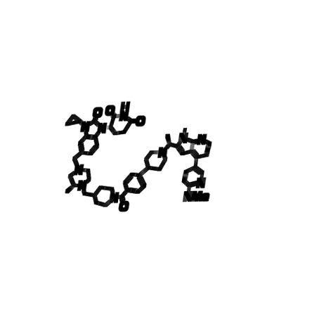 CNc1ccc(-c2ccnc3c2cc([C@H](C)N2CCC(c4ccc(C(=O)N5CCC(CN6CCN(Cc7ccc8c(c7)n(C7CC7)c(=O)n8[C@H]7CCC(=O)NC7=O)C[C@@H]6C)CC5)cc4)CC2)n3C)cn1